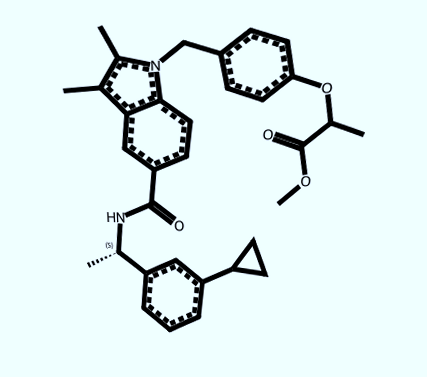 COC(=O)C(C)Oc1ccc(Cn2c(C)c(C)c3cc(C(=O)N[C@@H](C)c4cccc(C5CC5)c4)ccc32)cc1